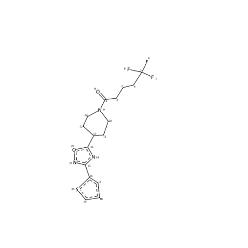 O=C(CCCC(F)(F)F)N1CCC(c2nc(-c3cccs3)no2)CC1